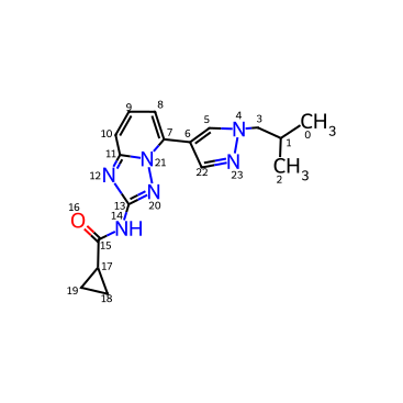 CC(C)Cn1cc(-c2cccc3nc(NC(=O)C4CC4)nn23)cn1